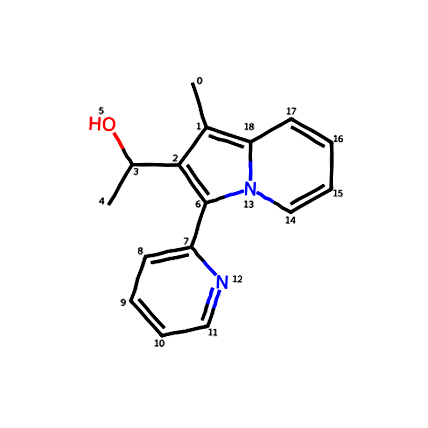 Cc1c(C(C)O)c(-c2ccccn2)n2ccccc12